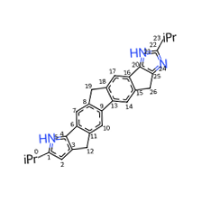 CC(C)c1cc2c([nH]1)-c1cc3c(cc1C2)-c1cc2c(cc1C3)-c1[nH]c(C(C)C)nc1C2